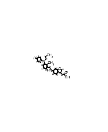 CCCN(c1ccc(F)cn1)c1cccc(CNc2ccc3c(c2)OC[C@H]3CC(=O)O)c1C